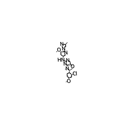 COc1ccc(C2COc3cnc(Nc4cnc(-n5cnc(C)c5)c(OC)c4)nc3N2C)c(Cl)c1